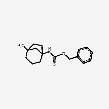 CC12CCCC(NC(=O)OCc3ccccc3)(CC1)C2